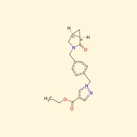 CCOC(=O)c1cnn(Cc2ccc(CN3C[C@H]4C[C@H]4C3=O)cc2)c1